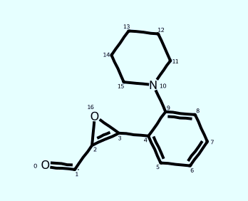 O=[C]C1=C(c2ccccc2N2CCCCC2)O1